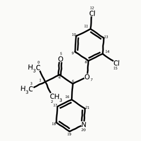 CC(C)(C)C(=O)C(Oc1ccc(Cl)cc1Cl)c1cccnc1